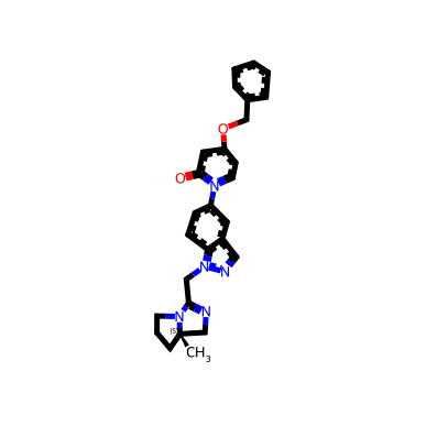 C[C@@]12CCCN1C(Cn1ncc3cc(-n4ccc(OCc5ccccc5)cc4=O)ccc31)=NC2